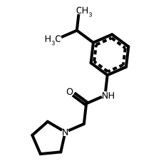 CC(C)c1cccc(NC(=O)CN2CCCC2)c1